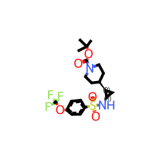 CC(C)(C)OC(=O)N1CCC([C@H]2C[C@H]2NS(=O)(=O)c2ccc(OC(F)(F)F)cc2)CC1